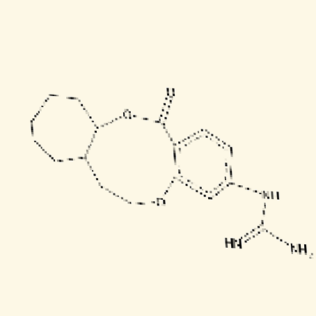 N=C(N)Nc1ccc2c(c1)OCCC1CCCCCC1OC2=O